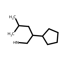 CC(C)CC(C[NH])C1CCCC1